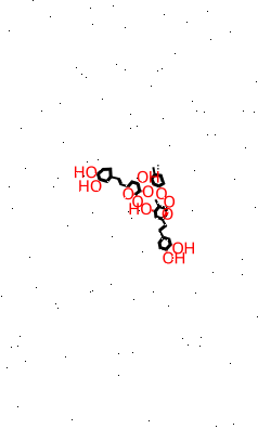 [CH]c1ccc(OCc2c(O)cc(C=Cc3ccc(O)c(O)c3)oc2=O)c(Oc2c(O)cc(C=Cc3ccc(O)c(O)c3)oc2=O)c1